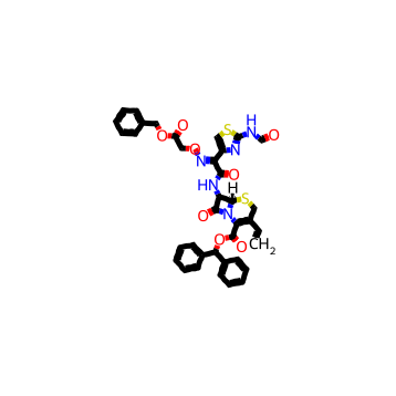 C=CC1=C(C(=O)OC(c2ccccc2)c2ccccc2)N2C(=O)C(NC(=O)C(=NOCC(=O)OCc3ccccc3)c3csc(NC=O)n3)[C@@H]2SC1